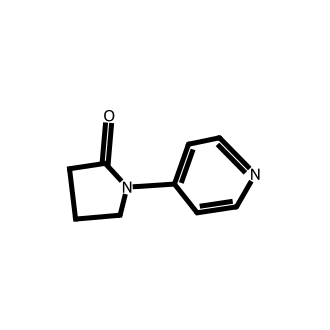 O=C1CCCN1c1ccncc1